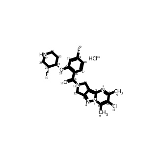 Cc1nc2c3c(nn2c(C)c1Cl)CN(C(=O)c1ccc(F)cc1O[C@H]1CCNC[C@H]1F)C3.Cl